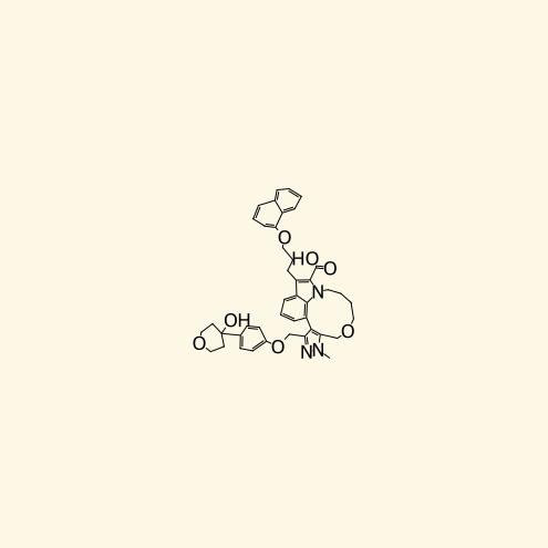 Cn1nc(COc2ccc(C3(O)CCOCC3)cc2)c2c1COCCCCn1c(C(=O)O)c(CCCOc3cccc4ccccc34)c3cccc-2c31